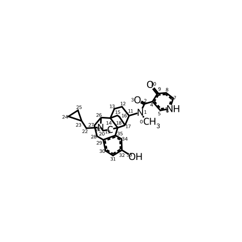 CN(C(=O)c1c[nH]ccc1=O)C1CCC23CCC1C21CCN(CC2CC2)C3CCc2ccc(O)cc21